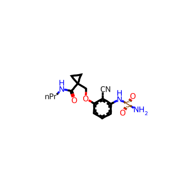 CCCNC(=O)C1(COc2cccc(NS(N)(=O)=O)c2C#N)CC1